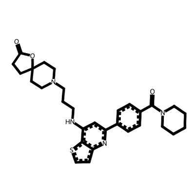 O=C1CCC2(CCN(CCCNc3cc(-c4ccc(C(=O)N5CCCCC5)cc4)nc4ccsc34)CC2)O1